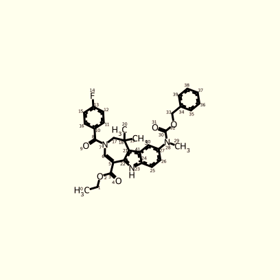 CCOC(=O)C1=CN(C(=O)c2ccc(F)cc2)CC(C)(C)c2c1[nH]c1ccc(N(C)C(=O)OCc3ccccc3)cc21